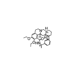 CCOc1cc2c(c(C(=O)N[C@H](C)c3ccccc3)c1OCC)[C@@H]1C[C@@H]3NCCC[C@@H]3CN1CC2